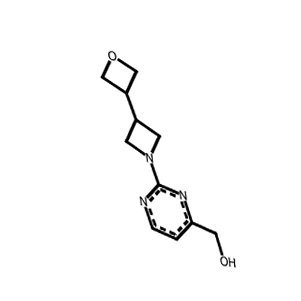 OCc1ccnc(N2CC(C3COC3)C2)n1